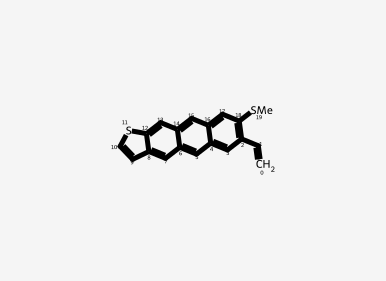 C=Cc1cc2cc3cc4ccsc4cc3cc2cc1SC